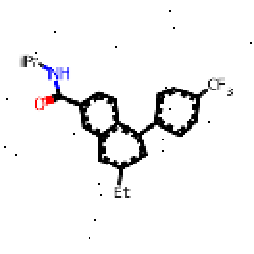 CCc1cc(-c2ccc(C(F)(F)F)cc2)c2ccc(C(=O)NC(C)C)cc2c1